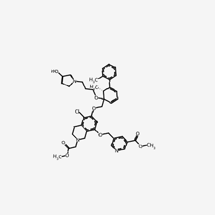 COC(=O)CN1CCc2c(Cl)c(OCC3(OCCCN4CCC(O)C4)C=CC=C(c4ccccc4C)[C@H]3C)cc(OCc3cncc(C(=O)OC)c3)c2C1